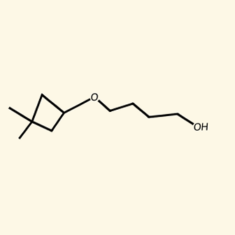 CC1(C)CC(OCCCCO)C1